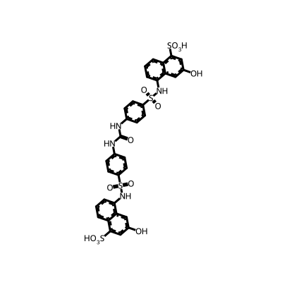 O=C(Nc1ccc(S(=O)(=O)Nc2cccc3c(S(=O)(=O)O)cc(O)cc23)cc1)Nc1ccc(S(=O)(=O)Nc2cccc3c(S(=O)(=O)O)cc(O)cc23)cc1